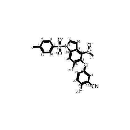 Cc1ccc(S(=O)(=O)n2ccc3c([S+](C)[O-])c(Oc4ccc(F)c(C#N)c4)c(F)cc32)cc1